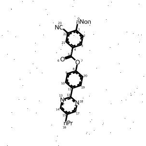 CCCCCCCCCc1ccc(C(=O)Oc2ccc(-c3ncc(CCC)cn3)cc2)cc1C#N